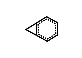 [C]1c2ccccc21